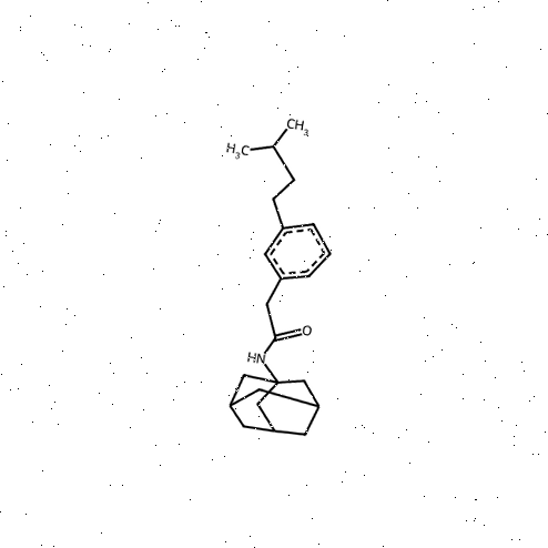 CC(C)CCc1cccc(CC(=O)NC23CC4CC(CC(C4)C2)C3)c1